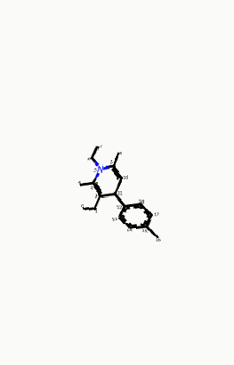 CCC1=C(C)N(CC)C(C)=CC1c1ccc(C)cc1